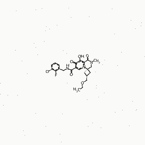 CCOC[C@H]1C[C@]2(CN(C)C(=O)c3c(O)c(=O)c(C(=O)NCc4cccc(Cl)c4F)cn32)C1